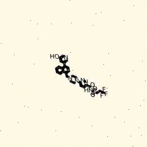 O=C(NS(=O)(=O)CCC(F)(F)F)c1ccc(N2CCN(Cc3ccc(-c4cncc(O)c4)c4ccccc34)CC2)nn1